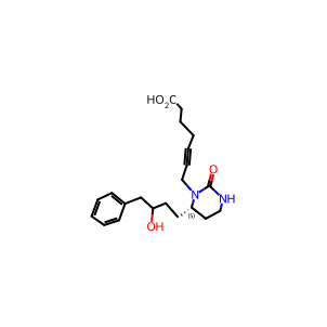 O=C(O)CCCC#CCN1C(=O)NCC[C@@H]1CCC(O)Cc1ccccc1